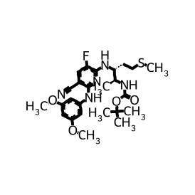 COc1cc(Nc2nc(N[C@H](CCSC)[C@H](C)NC(=O)OC(C)(C)C)c(F)cc2C#N)cc(OC)c1